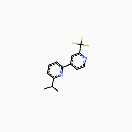 CC(C)c1cccc(-c2ccnc(C(F)(F)F)c2)n1